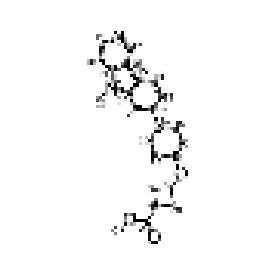 COC(=O)[C@H]1C[C@H](Oc2ccc(-c3ccc4c5cnccc5n(C)c4c3)cn2)C1